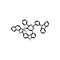 C=C1C=C(c2cccc3sc4ccc(-c5nc6ccc7ccccc7c6s5)cc4c23)N=C(c2cccc(-n3c4ccccc4c4ccccc43)c2)N=C1c1ccccc1